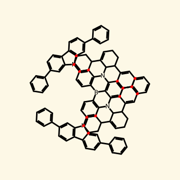 C1=CCC(C2=CCCC(C3=CCCCC3)C2N2c3cc(-n4c5cc(-c6ccccc6)ccc5c5ccc(-c6ccccc6)cc54)ccc3B3c4ccc(-n5c6cc(-c7ccccc7)ccc6c6ccc(-c7ccccc7)cc65)cc4N(C4C(C5CC=CCC5)=CCCC4C4=CCCCC4)c4cc(-c5ccccc5)cc2c43)CC1